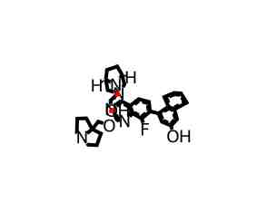 OCCN1[C@@H]2CC[C@H]1CN(c1nc(OCC34CCCN3CCC4)nc3c(F)c(-c4cc(O)cc5ccccc45)ccc13)C2